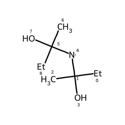 CCC(C)(O)[N]C(C)(O)CC